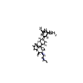 C=C(/C=C\C=C/C)[C@@H]1CC=NN1C(=O)C1CCN(c2cc(N)nc(C)n2)CC1